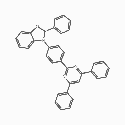 c1ccc(B2Oc3ccccc3N2c2ccc(-c3nc(-c4ccccc4)cc(-c4ccccc4)n3)cc2)cc1